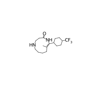 C/C1=C(/C2CCC(C(F)(F)F)CC2)NC(=O)CCNCCCC1